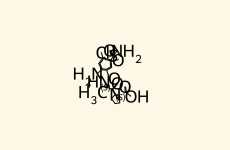 C[C@H](NC(=O)c1cc(S(N)(=O)=O)c(Cl)cc1N)C(=O)N1CCC[C@H]1C(=O)O